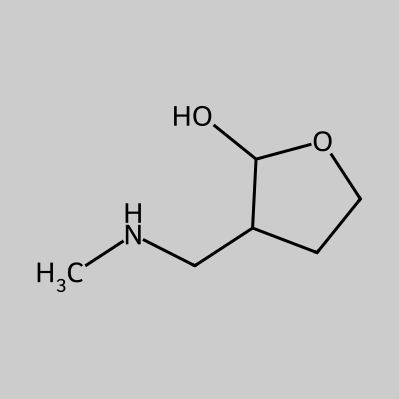 CNCC1CCOC1O